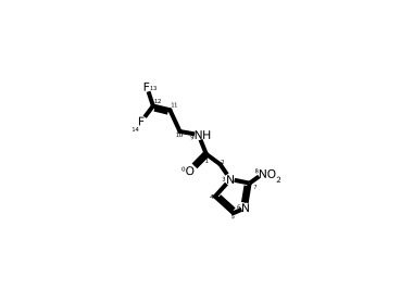 O=C(Cn1ccnc1[N+](=O)[O-])NCC=C(F)F